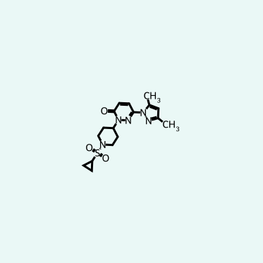 Cc1cc(C)n(-c2ccc(=O)n(C3CCN(S(=O)(=O)C4CC4)CC3)n2)n1